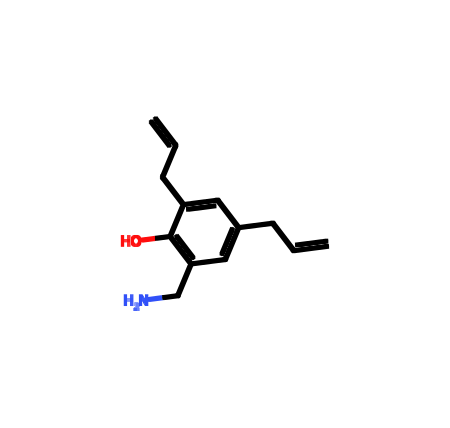 C=CCc1cc(CN)c(O)c(CC=C)c1